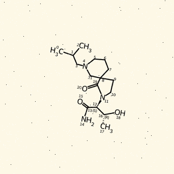 CC(C)CN1CCCC2(CCN([C@H](C(N)=O)[C@@H](C)O)C2=O)C1